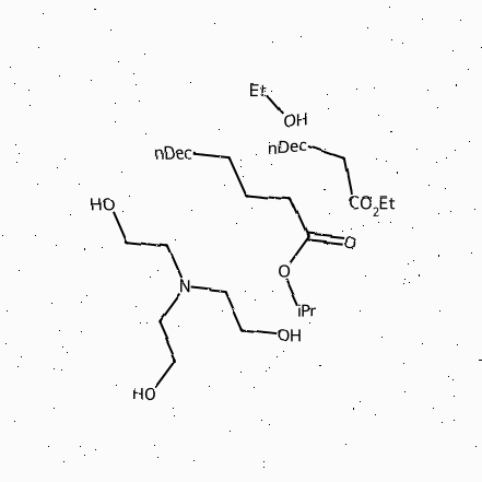 CCCCCCCCCCCC(=O)OCC.CCCCCCCCCCCCCC(=O)OC(C)C.CCO.OCCN(CCO)CCO